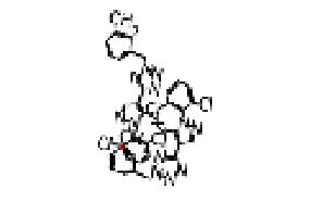 Cc1cccc(Cn2nnc(-c3cnn(-c4c(Cl)cccc4Cl)c3SSc3c(-c4nnn(Cc5cccc(C)c5)n4)cnn3-c3c(Cl)cccc3Cl)n2)c1